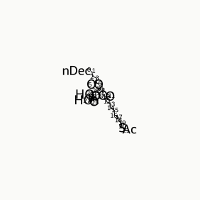 CCCCCCCCCCCCCC(=O)O[C@H](COC(=O)CCCCCCCCSC(C)=O)COP(=O)(O)O